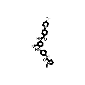 CCn1cccc1C(=O)Nc1ccc(Nc2ccc(NC(=O)c3ccc(N4CCC(O)CC4)cc3)cc2C#N)cc1